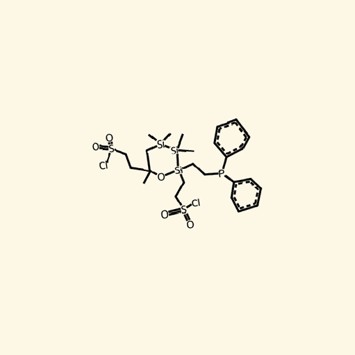 CC1(CCS(=O)(=O)Cl)C[Si](C)(C)[Si](C)(C)[Si](CCP(c2ccccc2)c2ccccc2)(CCS(=O)(=O)Cl)O1